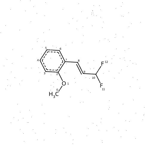 COc1ccccc1C=CC(F)F